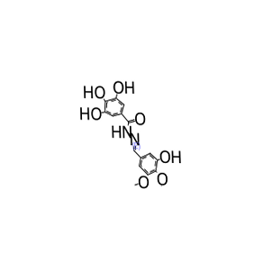 COc1cc(/C=N/NC(=O)c2cc(O)c(O)c(O)c2)cc(O)c1OC